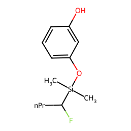 CCCC(F)[Si](C)(C)Oc1cccc(O)c1